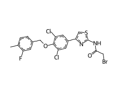 Cc1ccc(COc2c(Cl)cc(-c3csc(NC(=O)CBr)n3)cc2Cl)cc1F